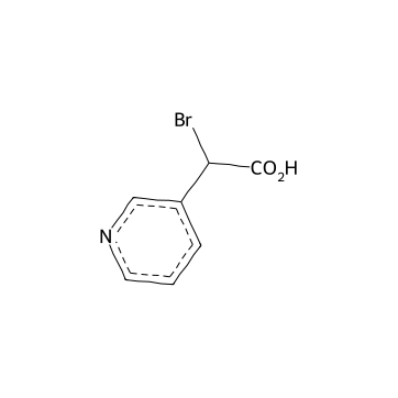 O=C(O)C(Br)c1cccnc1